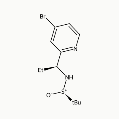 CC[C@H](N[S@+]([O-])C(C)(C)C)c1cc(Br)ccn1